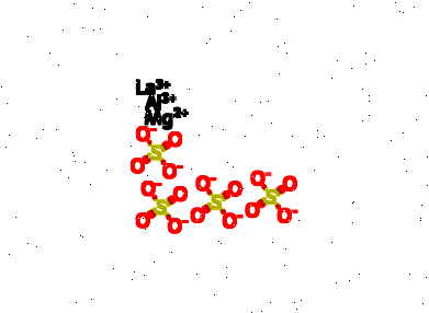 O=S(=O)([O-])[O-].O=S(=O)([O-])[O-].O=S(=O)([O-])[O-].O=S(=O)([O-])[O-].[Al+3].[La+3].[Mg+2]